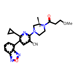 COCCC(=O)N1CCN(c2nc(C3CC3)c(-c3cccc4nonc34)cc2C#N)C[C@H]1C